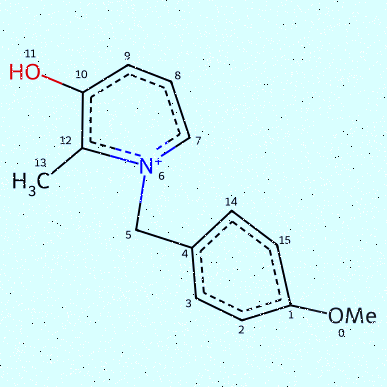 COc1ccc(C[n+]2cccc(O)c2C)cc1